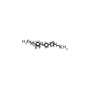 CCCCCC1CCC(C2CCC(COc3ccc(OCCCC)c(F)c3F)CC2)CO1